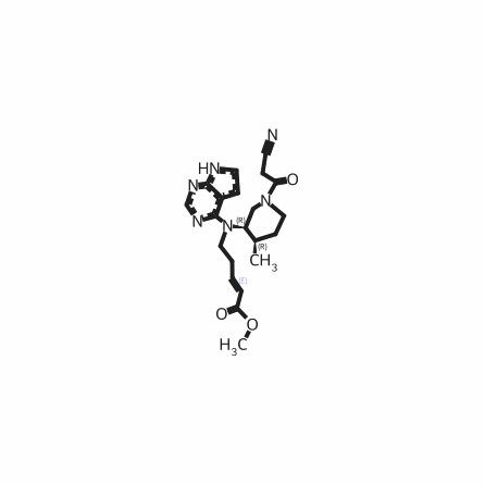 COC(=O)/C=C/CCN(c1ncnc2[nH]ccc12)[C@H]1CN(C(=O)CC#N)CC[C@H]1C